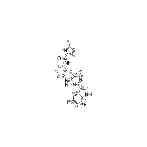 Cc1nc(C(=O)NC2CCCC(Nc3nc(-c4c[nH]c5c(F)cc(F)cc45)nc(C)c3F)C2)cs1